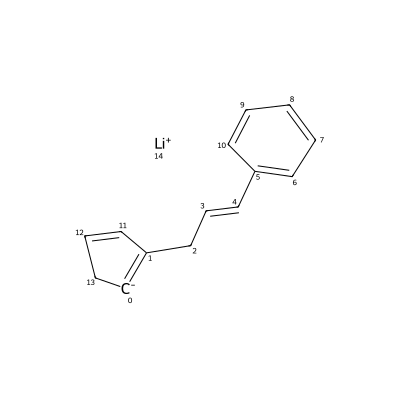 [C-]1=C(CC=Cc2ccccc2)C=CC1.[Li+]